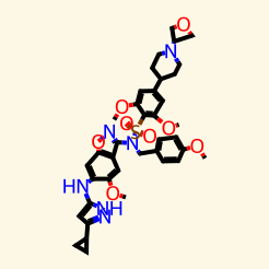 COc1ccc(CN(c2noc3cc(Nc4cc(C5CC5)n[nH]4)c(OC)cc23)S(=O)(=O)c2c(OC)cc(C3CCN(C4COC4)CC3)cc2OC)cc1